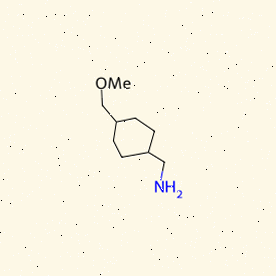 COCC1CCC(CN)CC1